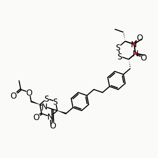 CC[C@@]12SS[C@@](Cc3ccc(CCc4ccc(C[C@@]56SS[C@@](COC(C)=O)(C(=O)N5C)N(C)C6=O)cc4)cc3)(C(=O)N1C)N(C)C2=O